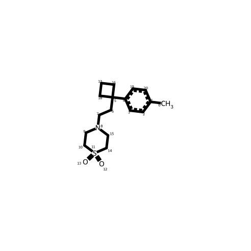 Cc1ccc(C2(CCN3CCS(=O)(=O)CC3)CCC2)cc1